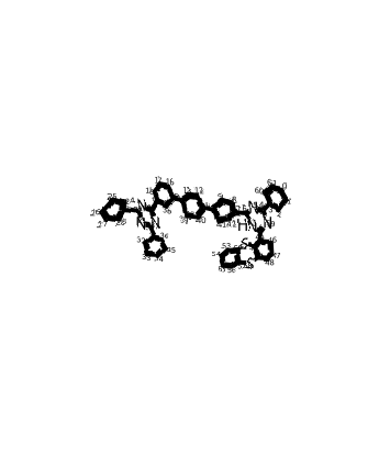 c1ccc(C2=NC(c3ccc(-c4ccc(-c5cccc(-c6nc(-c7ccccc7)nc(-c7ccccc7)n6)c5)cc4)cc3)NC(c3cccc4c3Sc3ccccc3S4)=N2)cc1